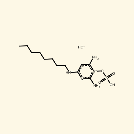 CCCCCCCCNc1cc(N)[n+](OS(=O)(=O)O)c(N)n1.[OH-]